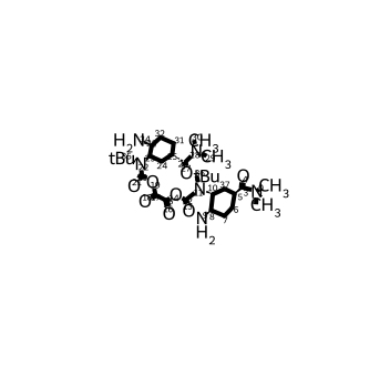 CN(C)C(=O)[C@H]1CC[C@H](N)[C@H](N(C(=O)OC(=O)C(=O)OC(=O)N([C@@H]2C[C@@H](C(=O)N(C)C)CC[C@@H]2N)C(C)(C)C)C(C)(C)C)C1